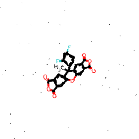 CC1(c2ccc(F)cc2F)c2cc3c(cc2Oc2cc4c(cc21)C(=O)OC4=O)C(=O)OC3=O